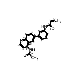 C=CC(=O)Nc1cccc(-c2ccc3nccc(NC(C)=O)c3c2)c1